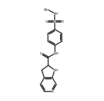 CC(C)(C)NS(=O)(=O)c1ccc(NC(=O)C2Cc3ccncc3N2)cc1